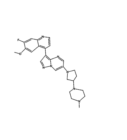 COc1cc2c(-c3cnn4cc(N5CCC(N6CCN(C)CC6)C5)cnc34)ccnc2cc1F